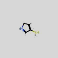 SC1=CCN=C1